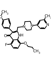 CCCOc1ccc(F)c2c(=O)c(-c3ccc(OC)cc3)c(CN3CCN(c4ccnc(C)c4)CC3)[nH]c12